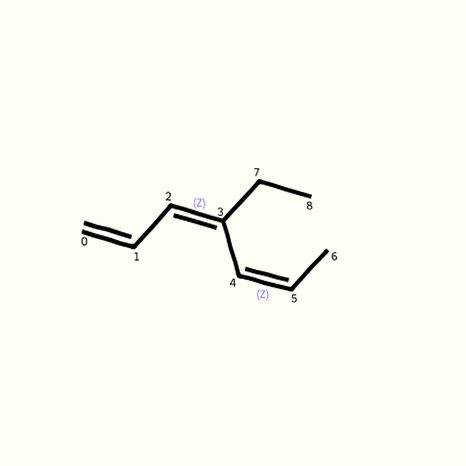 C=C/C=C(\C=C/C)CC